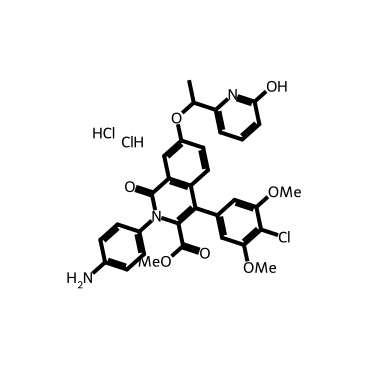 COC(=O)c1c(-c2cc(OC)c(Cl)c(OC)c2)c2ccc(OC(C)c3cccc(O)n3)cc2c(=O)n1-c1ccc(N)cc1.Cl.Cl